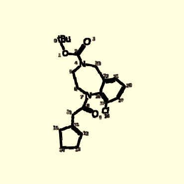 CC(C)(C)OC(=O)N1CCN(C(=O)CC2=CCCC2)c2c(Cl)cccc2C1